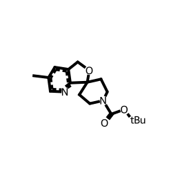 Cc1cnc2c(c1)COC21CCN(C(=O)OC(C)(C)C)CC1